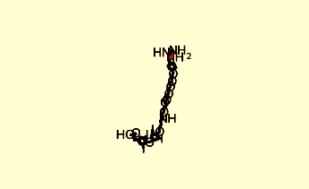 N=C(N)NCc1ccc(OCOCOCOCOOCCOCNCCCOc2c(I)cc(Oc3c(I)cc(CC(=O)O)cc3I)cc2I)cc1